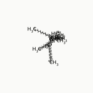 CCCCCCCCCCCCNC(=O)N[C@H](COCC[C@@H](CCCCCCC)OC(=O)CCCCCCCCCCC)CO[Si](c1ccccc1)(c1ccccc1)C(C)(C)C